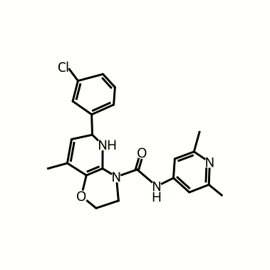 CC1=CC(c2cccc(Cl)c2)NC2=C1OCCN2C(=O)Nc1cc(C)nc(C)c1